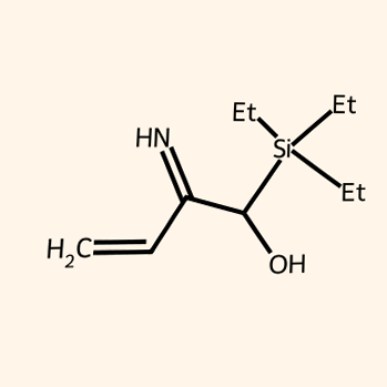 C=CC(=N)C(O)[Si](CC)(CC)CC